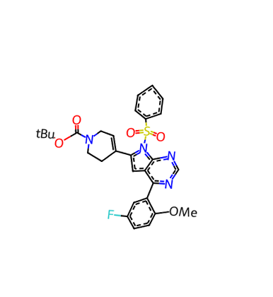 COc1ccc(F)cc1-c1ncnc2c1cc(C1=CCN(C(=O)OC(C)(C)C)CC1)n2S(=O)(=O)c1ccccc1